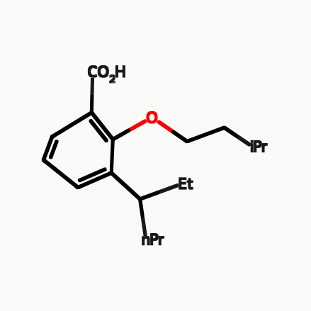 CCCC(CC)c1cccc(C(=O)O)c1OCCC(C)C